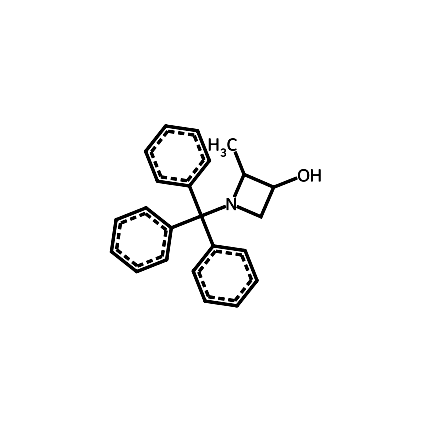 CC1C(O)CN1C(c1ccccc1)(c1ccccc1)c1ccccc1